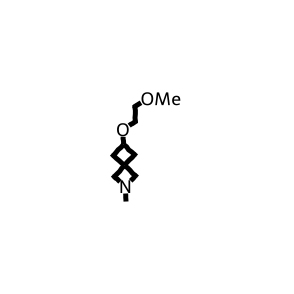 COCCOC1CC2(C1)CN(C)C2